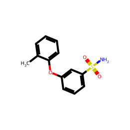 Cc1ccccc1Oc1cccc(S(N)(=O)=O)c1